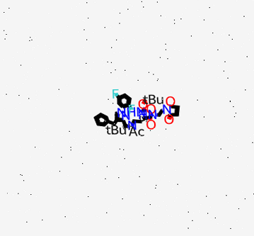 CC(=O)N(CC[C@H](NC(=O)OC(C)(C)C)C(=O)NCCN1C(=O)C=CC1=O)[C@@H](c1nn(-c2cc(F)ccc2F)cc1Cc1ccccc1)C(C)(C)C